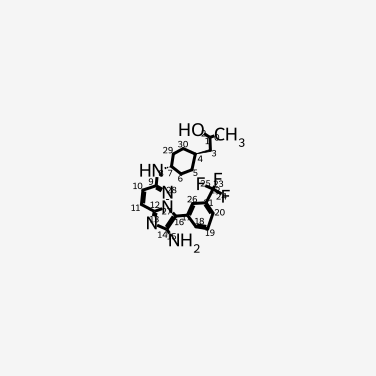 CC(O)C[C@H]1CC[C@H](Nc2ccc3nc(N)c(-c4cccc(C(F)(F)F)c4)n3n2)CC1